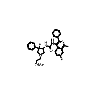 COCCN1CC(NC(=O)Nc2c(-c3ccccc3)nc(C)c3cc(F)ccc23)C(F)(c2ccccc2)C1